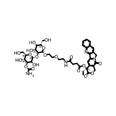 CC[C@@]1(OC(=O)CCC(=O)NCCOCCO[C@H]2O[C@@H](CO)[C@@H](O)[C@H](O)[C@@H]2O[C@H]2O[C@H](CO)[C@@H](O)[C@H](OC(N)=O)[C@@H]2O)C(=O)OCc2c1cc1n(c2=O)Cc2cc3ccccc3nc2-1